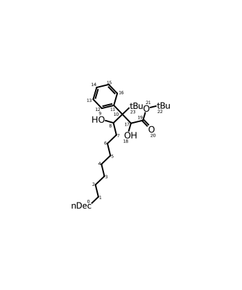 CCCCCCCCCCCCCCCCCC(O)C(c1ccccc1)(C(O)C(=O)OC(C)(C)C)C(C)(C)C